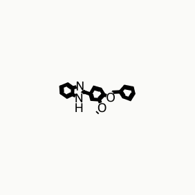 COc1cc(-c2nc3ccccc3[nH]2)ccc1OCc1ccccc1